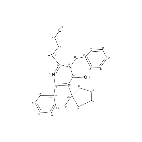 O=c1c2c(nc(NCCO)n1Cc1ccccc1)-c1ccccc1CC21CCCC1